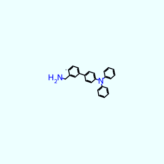 NCc1[c]ccc(-c2ccc(N(c3ccccc3)c3ccccc3)cc2)c1